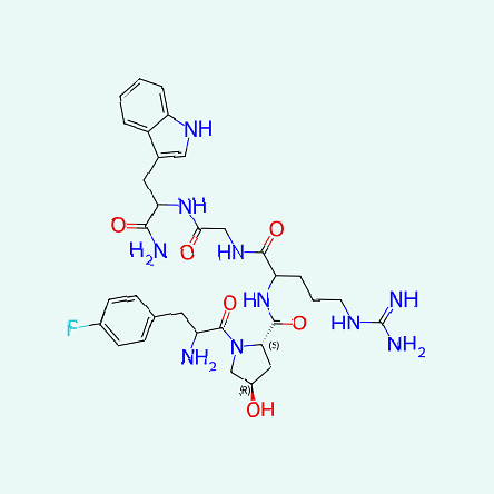 N=C(N)NCCCC(NC(=O)[C@@H]1C[C@@H](O)CN1C(=O)C(N)Cc1ccc(F)cc1)C(=O)NCC(=O)NC(Cc1c[nH]c2ccccc12)C(N)=O